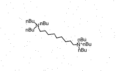 CCCC[N+](CCCC)(CCCC)CCCCCCCCC[N+](CCCC)(CCCC)CCCC